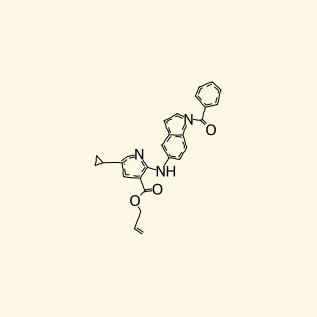 C=CCOC(=O)c1cc(C2CC2)cnc1Nc1ccc2c(ccn2C(=O)c2ccccc2)c1